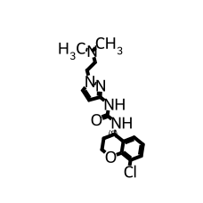 CN(C)CCn1ccc(NC(=O)N[C@H]2CCOc3c(Cl)cccc32)n1